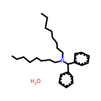 CCCCCCCCN(CCCCCCCC)C(c1ccccc1)c1ccccc1.O